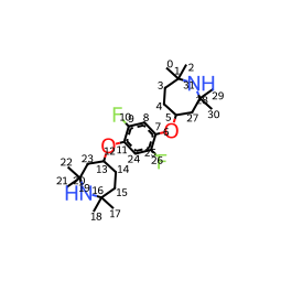 CC1(C)CCC(Oc2cc(F)c(OC3CCC(C)(C)NC(C)(C)C3)cc2F)CC(C)(C)N1